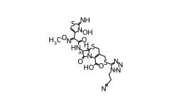 CON=C(C(=O)N[C@@H]1C(=O)N2C(C(=O)O)=C(CSc3nnnn3CCC#N)CS[C@@H]12)c1csc(=N)n1O